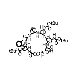 CC(C)C[C@@H]1NC(=O)[C@@H](Cc2ccccc2)NC(=O)[C@H](CNC(=O)OC(C)(C)C)NC(=O)CCCNC(=O)C([C@@H](C)O)NC(=O)[C@H](CCNC(=O)OC(C)(C)C)NC(=O)[C@H](CCNC(=O)OC(C)(C)C)NC1=O